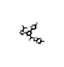 Cc1cnc(CNC(=O)c2cc(-c3ccc(Cl)nn3)cc(-n3nnnc3C(C)C)c2)cn1